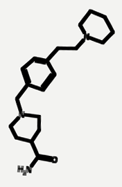 NC(=O)C1CCN(Cc2ccc(CCN3CCCCC3)cc2)CC1